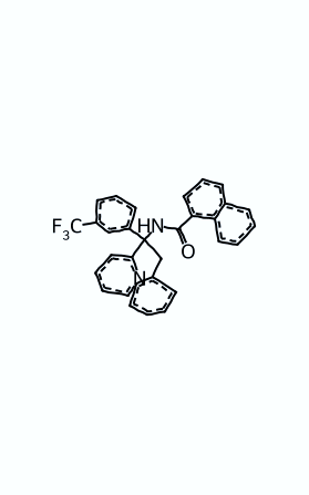 O=C(NC(Cc1ccccc1)(c1cccc(C(F)(F)F)c1)c1ccccn1)c1cccc2ccccc12